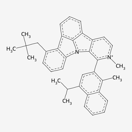 Cc1c(-c2c3c(cc[n+]2C)c2cccc4c5c(CC(C)(C)C)cccc5n3c24)cc(C(C)C)c2ccccc12